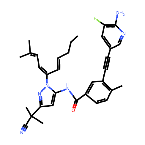 CCC/C=C/C(=C\C=C(C)C)n1nc(C(C)(C)C#N)cc1NC(=O)c1ccc(C)c(C#Cc2cnc(N)c(F)c2)c1